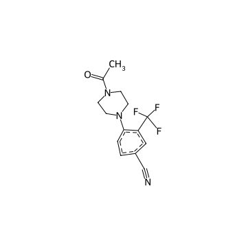 CC(=O)N1CCN(c2ccc(C#N)cc2C(F)(F)F)CC1